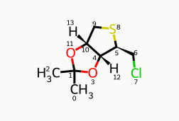 CC1(C)O[C@H]2[C@H](CCl)SC[C@H]2O1